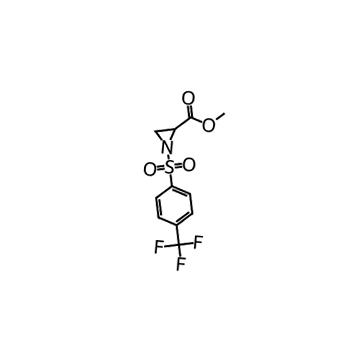 COC(=O)C1CN1S(=O)(=O)c1ccc(C(F)(F)F)cc1